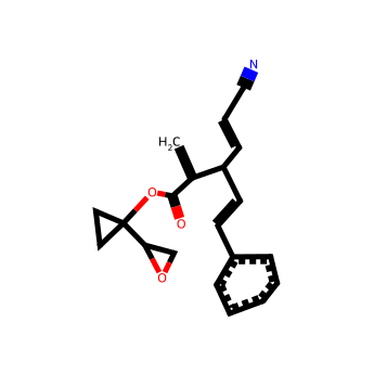 C=C(C(=O)OC1(C2CO2)CC1)C(C=CC#N)C=Cc1ccccc1